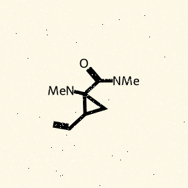 C=CC1CC1(NC)C(=O)NC